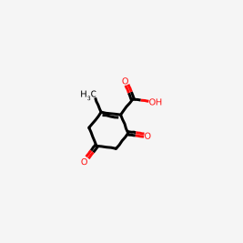 CC1=C(C(=O)O)C(=O)CC(=O)C1